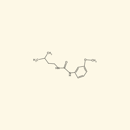 COc1cccc(NC(=O)NCCC(C)C)c1